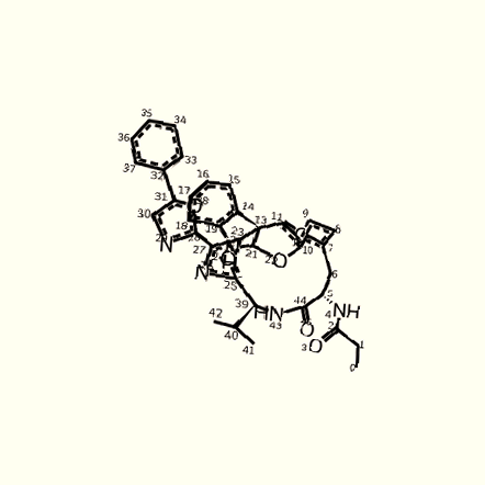 CCC(=O)N[C@H]1Cc2ccc3c(c2)[C@@]2(c4ccccc4NC2O3)c2oc(nc2-c2ncc(-c3ccccc3)o2)[C@H](C(C)C)NC1=O